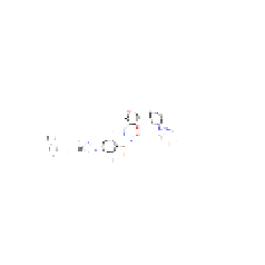 COC1(OC)CN(c2cc(Cl)c(C(=O)N3COc4c(cccc4-c4cc(N5C6CCC5COC6)c(C(=O)O)cc4F)C3)c(Cl)c2)C1.O